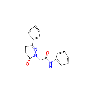 O=C(CN1N=C(c2ccccc2)CCC1=O)Nc1ccccc1